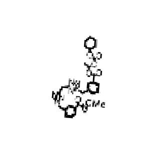 CON(C)C(=O)c1cccc(Cn2nnc(Cc3nnn(Cc4cccc(C(=O)OC(C)OC(=O)OC5CCCCC5)c4)n3)n2)c1